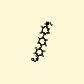 Nc1ccc(-c2ccc(-c3ccc([N+](=O)[O-])cc3)cc2)cc1